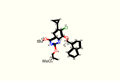 CO[C@@H](C)COc1nc(OC(C)(C)C)c2cc(C3CC3)c(Cl)c(O[C@@H](C)c3cccc4ccccc34)c2n1